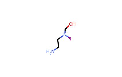 NCCN(I)CO